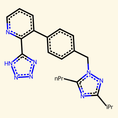 CCCc1nc(C(C)C)nn1Cc1ccc(-c2cccnc2-c2nnn[nH]2)cc1